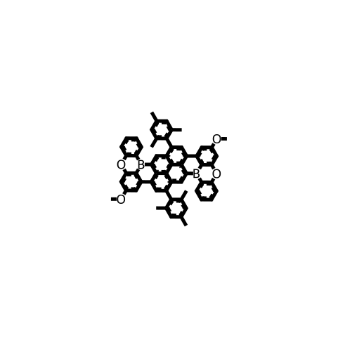 COc1cc2c3c(c1)-c1cc(-c4c(C)cc(C)cc4C)c4cc5c6c(cc(-c7c(C)cc(C)cc7C)c7cc(c1c4c76)B3c1ccccc1O2)-c1cc(OC)cc2c1B5c1ccccc1O2